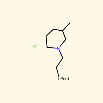 CCCCCCCN1CCCC(C)C1.F